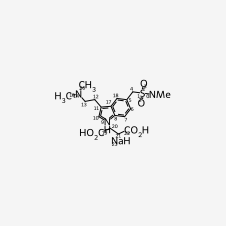 CNS(=O)(=O)Cc1ccc2[nH]cc(CCN(C)C)c2c1.O=C(O)CCC(=O)O.[NaH]